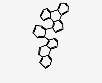 c1ccc(-c2cccc3c4ccccc4c4ccccc4c23)c(-c2cccc3c2ccc2ccccc23)c1